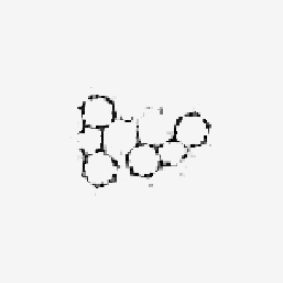 CC(C)(C)N(c1cccc2oc3ccccc3c12)c1cccc2oc3ccccc3c12